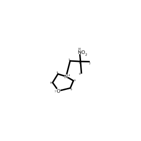 CC(C)(CN1CCOCC1)[N+](=O)[O-]